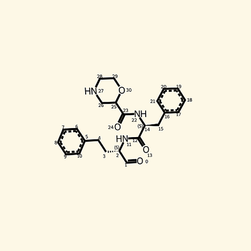 O=C[C@H](CCc1ccccc1)NC(=O)[C@H](Cc1ccccc1)NC(=O)C1CNCCO1